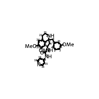 COc1cccc(CC2(CCNC(=O)Nc3ccncc3)NCCc3cc(OC)c(OC)cc32)c1